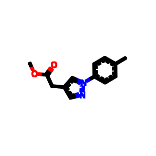 COC(=O)Cc1cnn(-c2ccc(C)cc2)c1